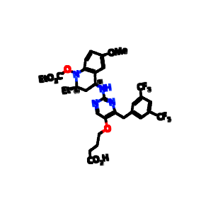 CCOC(=O)ON1c2ccc(OC)cc2[C@@H](Nc2ncc(OCCCC(=O)O)c(Cc3cc(C(F)(F)F)cc(C(F)(F)F)c3)n2)C[C@H]1CC